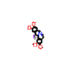 COc1cc2c(cc1OC)[C@H](I)[C@@H]1c3cc(OC)c(OC)cc3CCN1C2